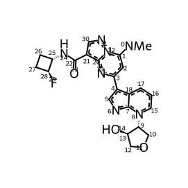 CNc1cc(-c2cnc3n([C@@H]4COC[C@H]4O)cccc2-3)nc2c(C(=O)N[C@H]3CC[C@@H]3F)cnn12